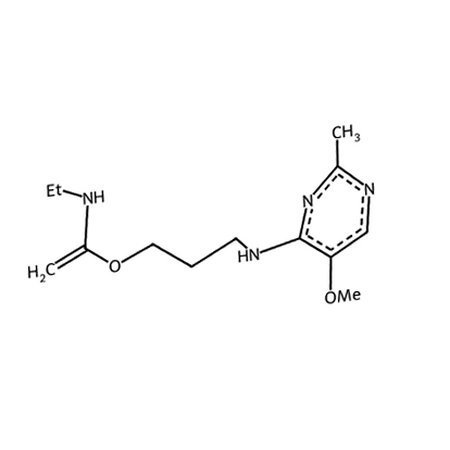 C=C(NCC)OCCCNc1nc(C)ncc1OC